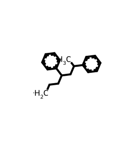 [CH2]CCC(CC(C)c1ccccc1)c1ccccc1